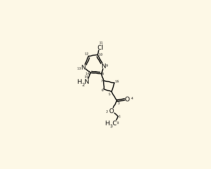 CCOC(=O)C1CC(c2nc(Cl)cnc2N)C1